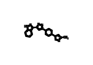 Cn1cc(-c2ccc(-n3cc(-c4n[nH]c5ccccc45)nn3)cc2)cn1